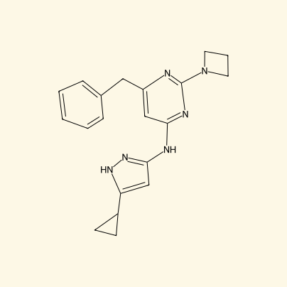 c1ccc(Cc2cc(Nc3cc(C4CC4)[nH]n3)nc(N3CCC3)n2)cc1